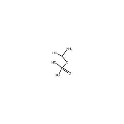 NC(O)OP(=O)(O)O